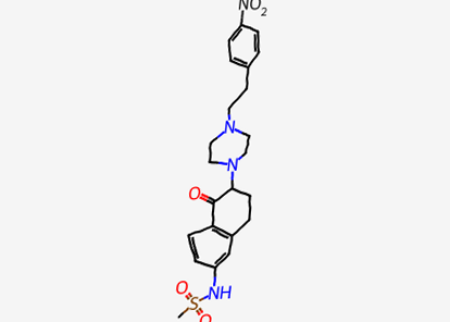 CS(=O)(=O)Nc1ccc2c(c1)CCC(N1CCN(CCc3ccc([N+](=O)[O-])cc3)CC1)C2=O